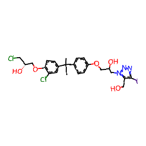 CC(C)(c1ccc(OCC(O)Cn2nnc(I)c2CO)cc1)c1ccc(OC[C@H](O)CCl)c(Cl)c1